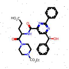 CCOC(=O)N1CCN(C(=O)C(CCC(=O)O)NC(=O)c2cc([C@@H](O)c3ccccc3)nc(-c3ccccc3)n2)CC1